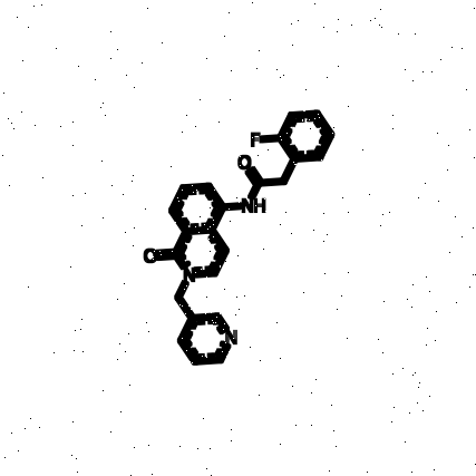 O=C(Cc1ccccc1F)Nc1cccc2c(=O)n(Cc3cccnc3)ccc12